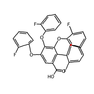 O=C(O)c1cc(Oc2ccccc2F)c(Oc2ccccc2F)c(Oc2ccccc2F)c1-c1ccccc1F